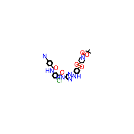 CC(C)(C)OC(=O)N1CCC(S(=O)(=O)c2ccc(Nc3ncc(NC(=O)c4cc(NC(=O)c5ccc(C#N)cc5)ccc4Cl)cn3)cc2)CC1